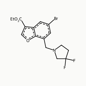 CCOC(=O)c1coc2c(CN3CCC(F)(F)C3)cc(Br)cc12